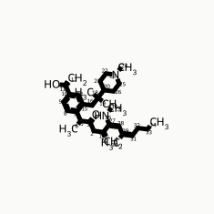 C=C(CC(=O)C(C)c1ccc(C(=C)O)cc1CC(C)(C)C1CCN(C)CC1)/C(=C\C(C)=C/CCC)NC